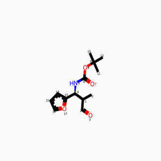 CC(C=O)[C@H](NC(=O)OC(C)(C)C)c1ccco1